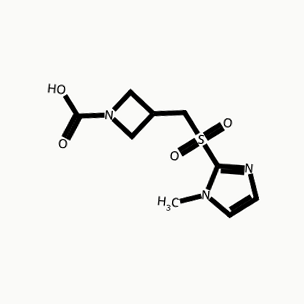 Cn1ccnc1S(=O)(=O)CC1CN(C(=O)O)C1